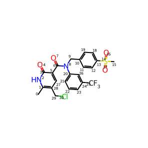 Cc1[nH]c(=O)c(C(=O)N(Cc2ccc(S(C)(=O)=O)cc2)c2cccc(C(F)(F)F)c2)cc1CCl